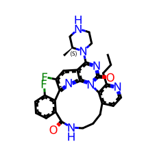 CCCc1nccc2c1-n1c(=O)nc(N3CCNC[C@@H]3C)c3cc(F)c(nc31)-c1c(F)cccc1C(=O)NCCC2